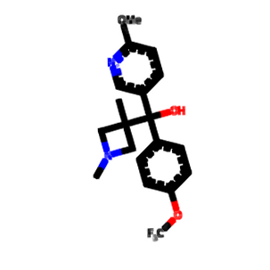 COc1ccc(C(O)(c2ccc(OC(F)(F)F)cc2)C2(C)CN(C)C2)cn1